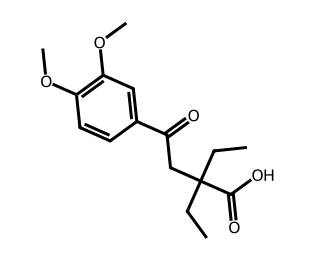 CCC(CC)(CC(=O)c1ccc(OC)c(OC)c1)C(=O)O